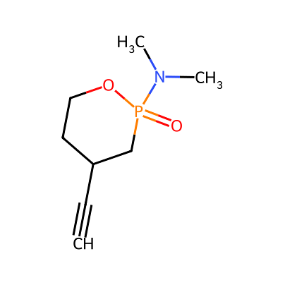 C#CC1CCOP(=O)(N(C)C)C1